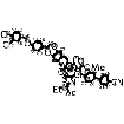 CCN(C(C)=O)c1nc(C)c(S(=O)(=O)N2Cc3cc4c(cc3C[C@H]2C(=O)N[C@@H](Cc2ccc(-c3ccc(C#N)cc3)cc2)C(=O)OC)OC[C@@H](c2ccc(OCc3ccc(Cl)c(Cl)c3)cc2)O4)s1